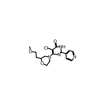 COCCC1CN(c2nc(-c3ccncc3)[nH]c(=O)c2Cl)CCO1